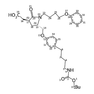 CC(C)(C)OC(=O)NCCCCc1ccc(OC[C@@H]2C[C@@H](CC(=O)O)C(=O)N2CCCCOc2ccccc2)cc1